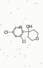 OC1(c2ncc(Cl)cc2Cl)CCOCC1